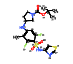 Cc1c(N[C@H]2CCN(C(=O)OC(C)(C)C)C2)cc(F)c(S(=O)(=O)Nc2cscn2)c1F